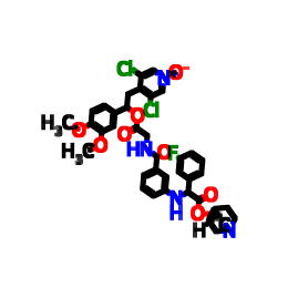 COc1ccc(C(Cc2c(Cl)c[n+]([O-])cc2Cl)OC(=O)CNC(=O)c2cccc(NC(C(=O)O[C@H]3CN4CCC3CC4)c3cccc(F)c3)c2)cc1OC